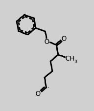 CC(CCC[C]=O)C(=O)OCc1ccccc1